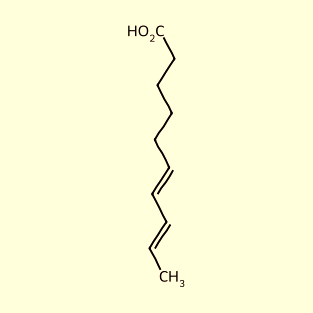 CC=CC=CCCCCC(=O)O